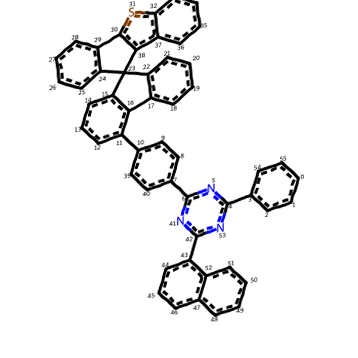 c1ccc(-c2nc(-c3ccc(-c4cccc5c4-c4ccccc4C54c5ccccc5-c5sc6ccccc6c54)cc3)nc(-c3cccc4ccccc34)n2)cc1